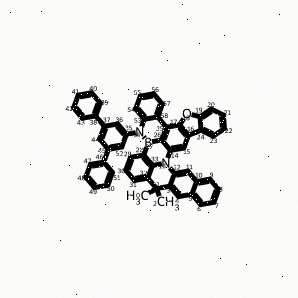 CC1(C)c2cc3ccccc3cc2N2c3cc4c(oc5ccccc54)c4c3B(c3cccc1c32)N(c1cc(-c2ccccc2)cc(-c2ccccc2)c1)c1ccccc1-4